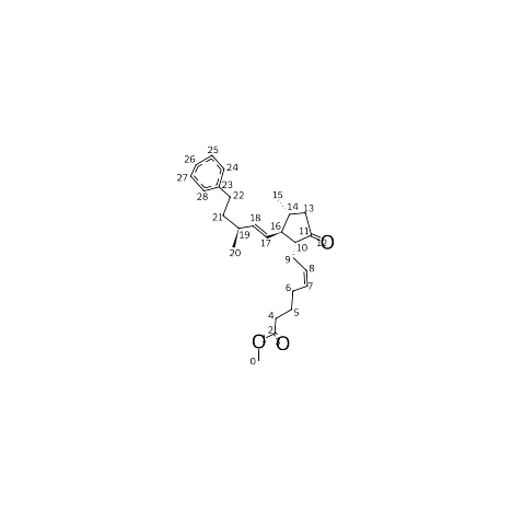 COC(=O)CCC/C=C\C[C@H]1C(=O)C[C@@H](C)[C@@H]1/C=C/[C@@H](C)CCc1ccccc1